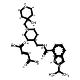 CC(C)n1cc2cccc(C(=O)NCC3CCN(CC4(O)CCOCC4)CC3)c2n1.O=C(O)C=CC(=O)O